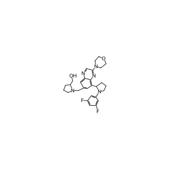 OCC1CCCN1Cc1cc(C2CCCN2c2cc(F)cc(F)c2)c2nc(N3CCOCC3)cnc2c1